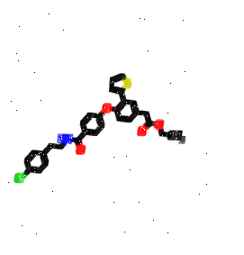 CCOC(=O)Cc1ccc(Oc2ccc(C(=O)NCCc3ccc(Cl)cc3)cc2)c(-c2cccs2)c1